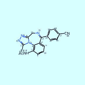 CCc1nnc2n1-c1c(NC(C)=O)cccc1C(c1ccc(C#N)cc1)=NC2